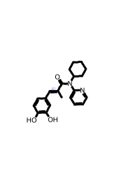 C/C(=C\c1ccc(O)c(O)c1)C(=O)N(c1ccccn1)C1CCCCC1